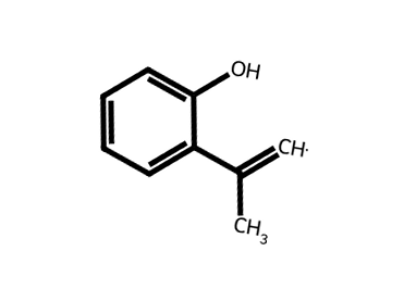 [CH]=C(C)c1ccccc1O